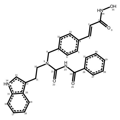 O=C(/C=C/c1ccc(CN(CCc2c[nH]c3ccccc23)C(=O)NC(=O)c2ccccc2)cc1)NO